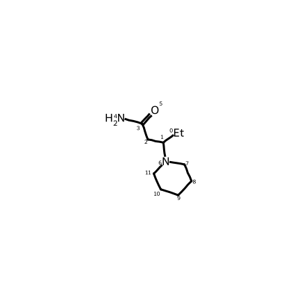 CCC(CC(N)=O)N1CCCCC1